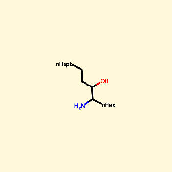 CCCCCCCCCC(O)C(N)CCCCCC